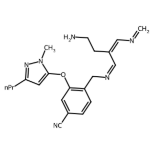 C=N/C=C(\C=N/Cc1ccc(C#N)cc1Oc1cc(CCC)nn1C)CCN